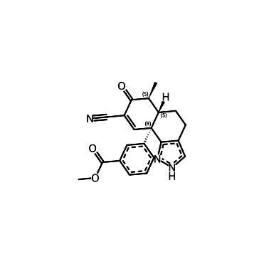 COC(=O)c1cccc([C@]23C=C(C#N)C(=O)[C@@H](C)[C@@H]2CCc2c[nH]nc23)c1